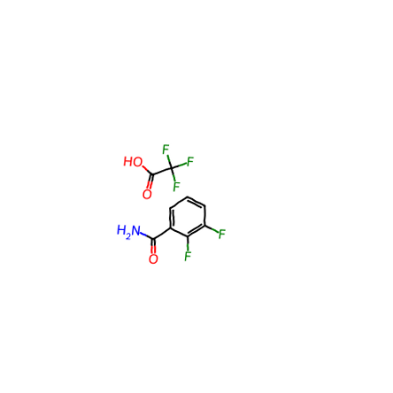 NC(=O)c1cccc(F)c1F.O=C(O)C(F)(F)F